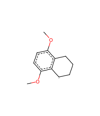 COc1ccc(OC)c2c1[CH]CCC2